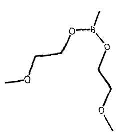 COCCOB(C)OCCOC